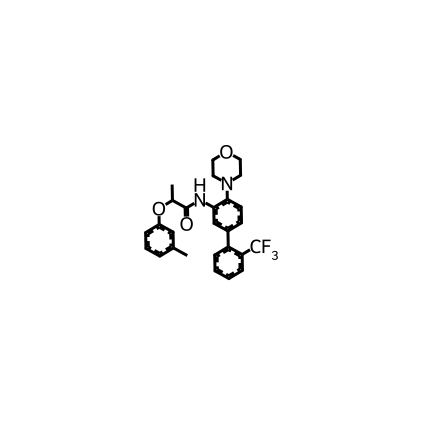 Cc1cccc(OC(C)C(=O)Nc2cc(-c3ccccc3C(F)(F)F)ccc2N2CCOCC2)c1